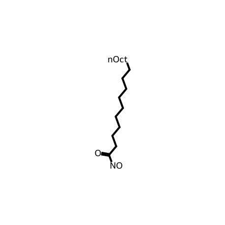 CCCCCCCCCCCCCCCCCC(=O)N=O